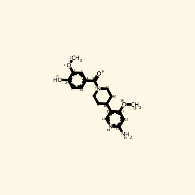 COc1cc(C(=O)N2CCC(c3cnc(N)cc3OC)CC2)ccc1O